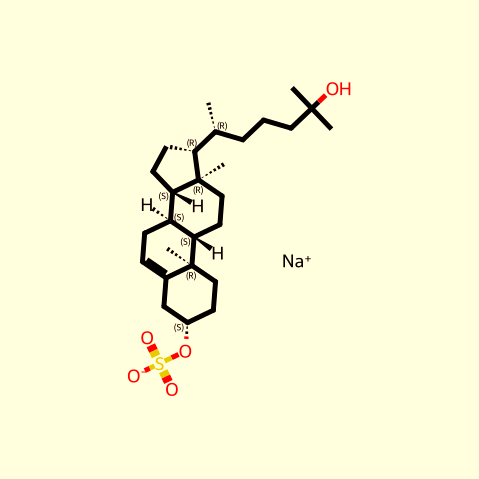 C[C@H](CCCC(C)(C)O)[C@H]1CC[C@H]2[C@@H]3CC=C4C[C@@H](OS(=O)(=O)[O-])CC[C@]4(C)[C@H]3CC[C@]12C.[Na+]